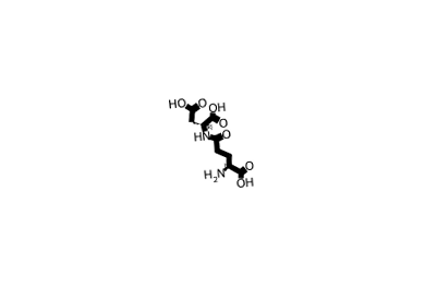 N[C@@H](CCC(=O)N[C@H](CC(=O)O)C(=O)O)C(=O)O